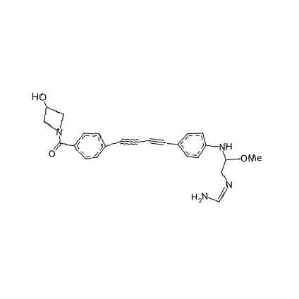 COC(C/N=C\N)Nc1ccc(C#CC#Cc2ccc(C(=O)N3CC(O)C3)cc2)cc1